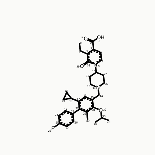 CCc1c(C(=O)O)ccn(C2CCN(Cc3cc(C4CC4)c(-c4ccc(F)cc4)c(C)c3OC(C)C)CC2)c1=O